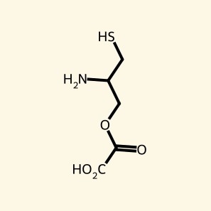 NC(CS)COC(=O)C(=O)O